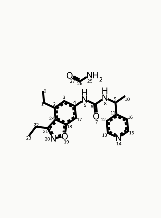 CCc1cc(NC(=O)NC(C)c2ccncc2)cc2onc(CC)c12.NC=O